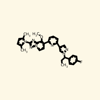 CCC(c1ccc(F)cc1)n1cc(-c2cccc(-c3ccn4nc(-n5c(C)ccc5C)nc4c3OC)n2)cn1